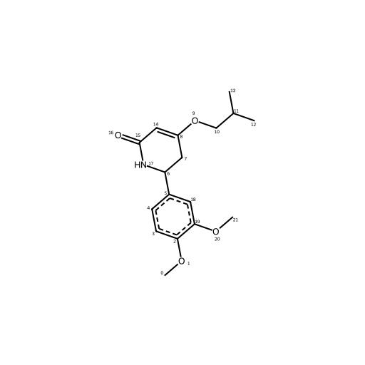 COc1ccc(C2CC(OCC(C)C)=CC(=O)N2)cc1OC